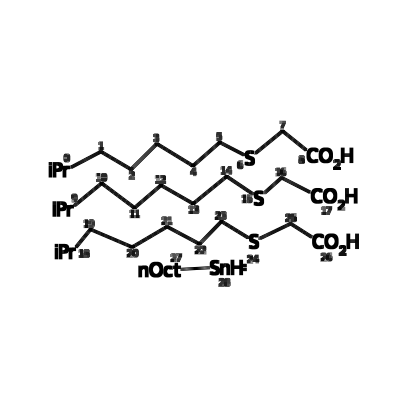 CC(C)CCCCCSCC(=O)O.CC(C)CCCCCSCC(=O)O.CC(C)CCCCCSCC(=O)O.CCCCCCC[CH2][SnH]